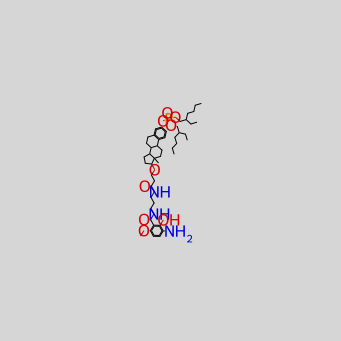 CCCCC(CC)COP(=O)(OCC(CC)CCCC)Oc1ccc2c(c1)CCC1C2CCC2(C)C(OCCC(=O)NCCCNC(=O)c3c(OC)ccc(N)c3O)CCC12